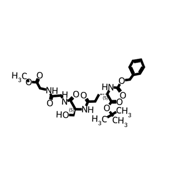 COC(=O)CNC(=O)CNC(=O)[C@H](CO)NC(=O)CC[C@H](NC(=O)OCc1ccccc1)C(=O)OC(C)(C)C